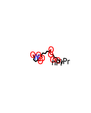 CCCOCC(COC(=O)CCCC(=O)ON1C(=O)CCC1=O)OCCC